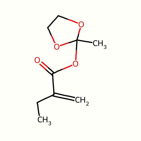 C=C(CC)C(=O)OC1(C)OCCO1